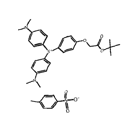 CN(C)c1ccc([S+](c2ccc(OCC(=O)OC(C)(C)C)cc2)c2ccc(N(C)C)cc2)cc1.Cc1ccc(S(=O)(=O)[O-])cc1